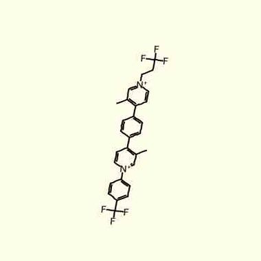 Cc1c[n+](CCC(F)(F)F)ccc1-c1ccc(-c2cc[n+](-c3ccc(C(F)(F)F)cc3)cc2C)cc1